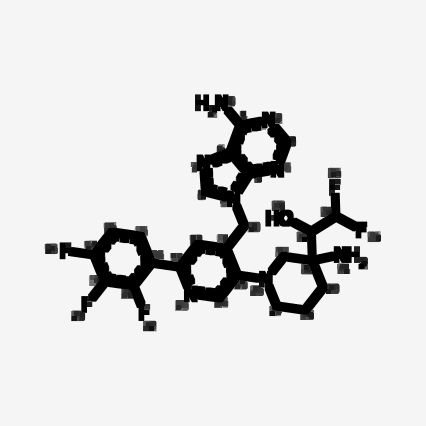 Nc1ncnc2c1ncn2Cc1cc(-c2ccc(F)c(F)c2F)ncc1N1CCCC(N)(C(O)C(F)F)C1